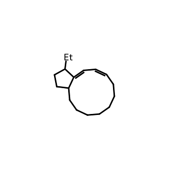 CCC1CCC2CCCCCCCC=CC=C12